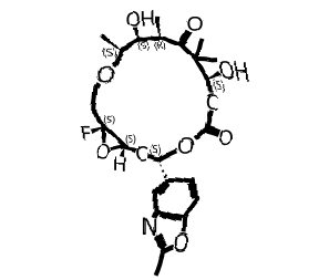 Cc1nc2cc([C@@H]3C[C@@H]4O[C@]4(F)CCO[C@@H](C)[C@@H](O)[C@@H](C)C(=O)C(C)(C)[C@@H](O)CC(=O)O3)ccc2o1